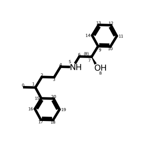 CC(CCCNC[C@H](O)c1ccccc1)c1ccccc1